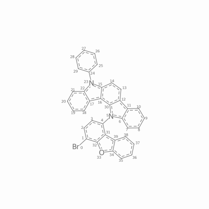 Brc1ccc(-n2c3ccccc3c3ccc4c(c5ccccc5n4-c4ccccc4)c32)c2c1oc1ccccc12